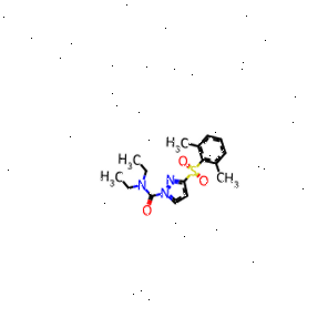 CCN(CC)C(=O)n1ccc(S(=O)(=O)c2c(C)cccc2C)n1